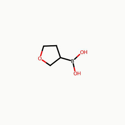 OB(O)C1CCOC1